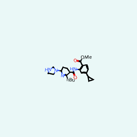 CCCCC1=NC(N2CCNC2)CCC1C(=O)Nc1cc(C2CC2)ccc1C(=O)OC